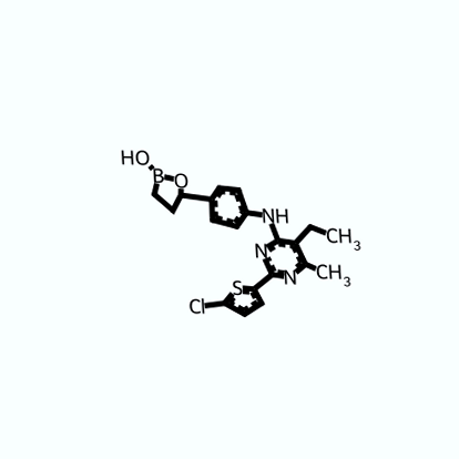 CCc1c(C)nc(-c2ccc(Cl)s2)nc1Nc1ccc(C2CCB(O)O2)cc1